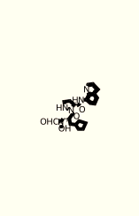 O=CN(O)C[C@@H](CC1CCCC1)C(=O)N1NCC[C@H]1C(=O)Nc1cccc2cccnc12